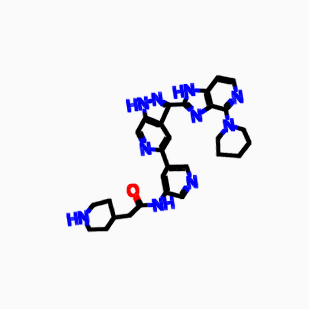 O=C(CC1CCNCC1)Nc1cncc(-c2cc3c(-c4nc5c(N6CCCCC6)nccc5[nH]4)n[nH]c3cn2)c1